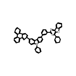 C1=CC(c2nc(-c3cccc(-c4ccc5c(c4)c4cc(-c6ccc7c8ccccc8c8ccccc8c7c6)ccc4n5-c4ccccc4)c3)nc3c2oc2ccccc23)=CCC1